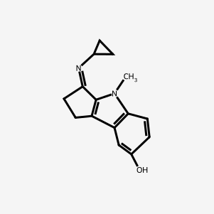 Cn1c2c(c3cc(O)ccc31)CCC2=NC1CC1